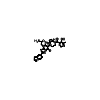 CCc1c(N2CCN(C(=O)c3ncnc(C)c3O)[C@H]3CC[C@H]32)c(=O)n2nc(-c3ccn4nccc4c3)nc2n1CC(N)=O